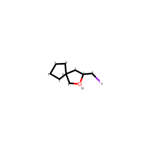 ICC1CC2(CCCC2)CO1